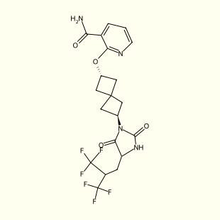 NC(=O)c1cccnc1O[C@H]1CC2(C1)C[C@H](N1C(=O)NC(CC(C(F)(F)F)C(F)(F)F)C1=O)C2